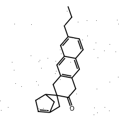 CCCc1ccc2cc3c(cc2c1)CC1(CC2=CCC1C2)C(=O)C3